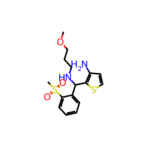 COCCCNC(c1ccccc1S(C)(=O)=O)c1sccc1N